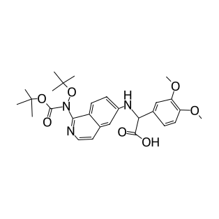 COc1ccc(C(Nc2ccc3c(N(OC(C)(C)C)C(=O)OC(C)(C)C)nccc3c2)C(=O)O)cc1OC